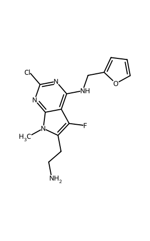 Cn1c(CCN)c(F)c2c(NCc3ccco3)nc(Cl)nc21